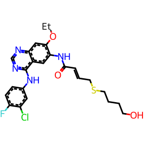 CCOc1cc2ncnc(Nc3ccc(F)c(Cl)c3)c2cc1NC(=O)/C=C/CSCCCCO